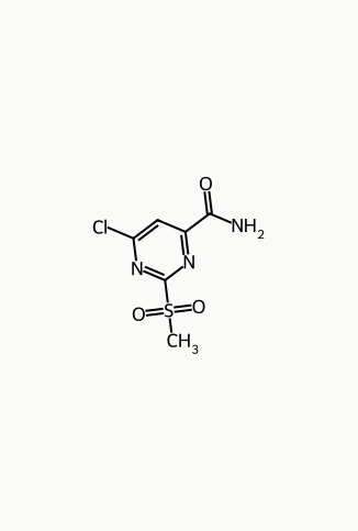 CS(=O)(=O)c1nc(Cl)cc(C(N)=O)n1